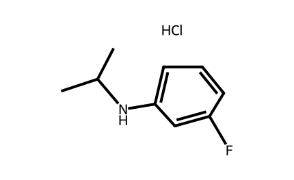 CC(C)Nc1cccc(F)c1.Cl